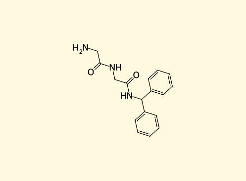 NCC(=O)NCC(=O)NC(c1ccccc1)c1ccccc1